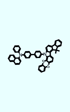 CC1(C)c2ccccc2-c2ccc3c(c21)c1ccc2c(c1n3-c1ccc(-c3ccc(N(c4ccccc4)c4cccc5ccccc45)cc3)cc1)Sc1ccccc1S2